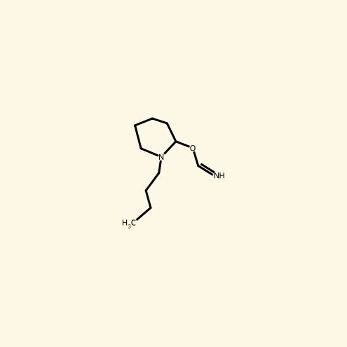 CCCCN1CCCCC1OC=N